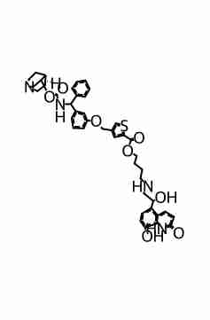 O=C(NC(c1ccccc1)c1cccc(OCc2csc(C(=O)OCCCCNCC(O)c3ccc(O)c4[nH]c(=O)ccc34)c2)c1)O[C@H]1CN2CCC1CC2